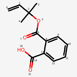 C=CC(C)(C)OC(=O)c1ccccc1C(=O)O